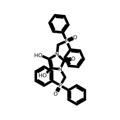 O=c1n(CP(=O)(c2ccccc2)c2ccccc2)c(O)c(O)n1CP(=O)(c1ccccc1)c1ccccc1